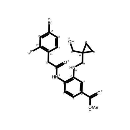 COC(=O)c1ccc(NC(=O)Cc2ccc(Br)cc2F)c(NCC2(CO)CC2)c1